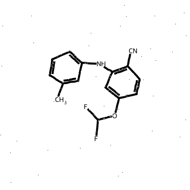 Cc1cccc(Nc2cc(OC(F)F)ccc2C#N)c1